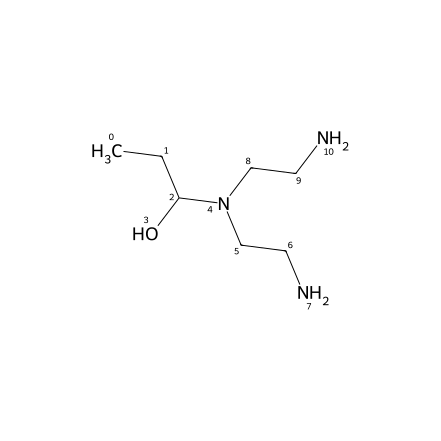 CCC(O)N(CCN)CCN